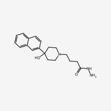 NNC(=O)CCCN1CCC(O)(c2ccc3ccccc3c2)CC1